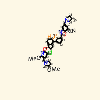 COc1nc(O[C@@H]2CCc3c(-c4cccc(-c5nc6cc(CN7CC[C@@H](C)C7)cc(C#N)c6o5)c4P)cccc32)c(Cl)cc1CN1CC[C@@H](OC)C1